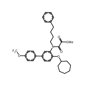 COC(=O)C(=O)N(CCCCc1ccccc1)c1cc(-c2ccc(OC(F)(F)F)cc2)ccc1OC1CCCCCC1